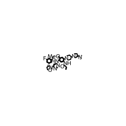 C=CC(=O)Nc1cc(Nc2cc(N3OCC[C@@H]3c3cc(F)cc(F)c3)ncn2)c(OC)cc1N1CCC(N2CC[C@@H](N(C)C)C2)CC1